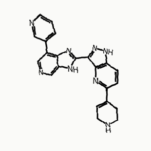 C1=C(c2ccc3[nH]nc(-c4nc5c(-c6cccnc6)cncc5[nH]4)c3n2)CCNC1